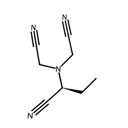 CC[C@@H](C#N)N(CC#N)CC#N